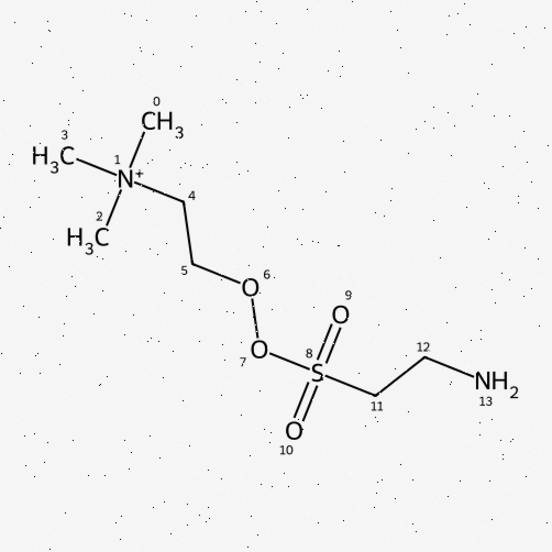 C[N+](C)(C)CCOOS(=O)(=O)CCN